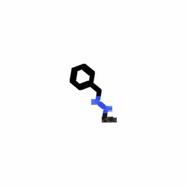 CC(=O)NNNCc1ccccc1